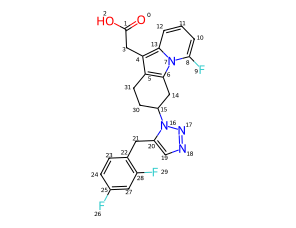 O=C(O)Cc1c2c(n3c(F)cccc13)CC(n1nncc1Cc1ccc(F)cc1F)CC2